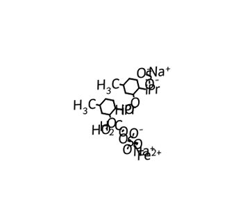 C=O.CC1CCC(C(C)C)C(OO)C1.CC1CCC(C(C)C)C(OO)C1.O=S(=O)([O-])[O-].[Fe+2].[Na+].[Na+].[O-]S[O-]